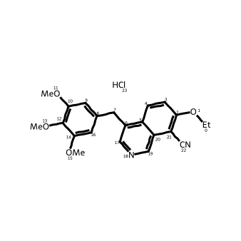 CCOc1ccc2c(Cc3cc(OC)c(OC)c(OC)c3)cncc2c1C#N.Cl